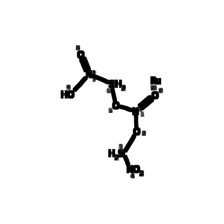 O=[N+](O[SiH2][N+](=O)[O-])O[SiH2][N+](=O)O.[Ru]